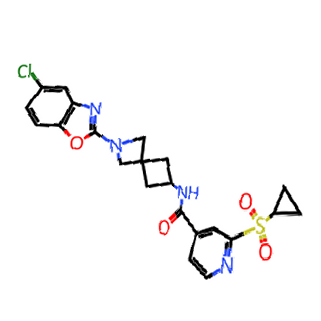 O=C(NC1CC2(C1)CN(c1nc3cc(Cl)ccc3o1)C2)c1ccnc(S(=O)(=O)C2CC2)c1